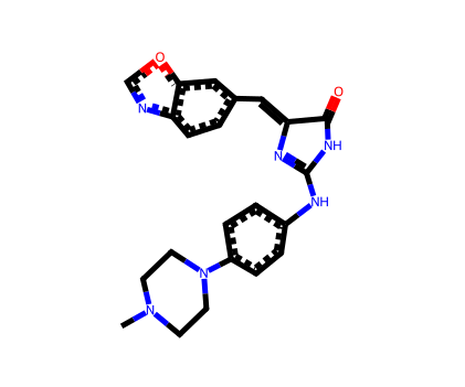 CN1CCN(c2ccc(NC3=N/C(=C\c4ccc5ncoc5c4)C(=O)N3)cc2)CC1